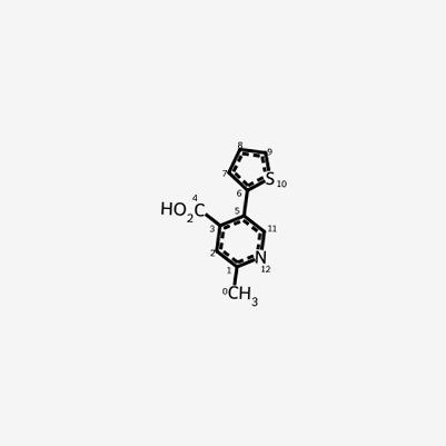 Cc1cc(C(=O)O)c(-c2cccs2)cn1